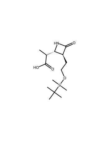 CC(C(=O)O)[C@@H]1NC(=O)[C@H]1CCO[Si](C)(C)C(C)(C)C